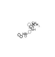 CN(C)c1nc(NC2CCC(CNC(=O)Cc3cccc4ccccc34)CC2)nc2c1CCCC2